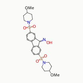 COC1CCN(S(=O)(=O)c2ccc3c(c2)C(=NO)c2cc(S(=O)(=O)N4CCC(OC)CC4)ccc2-3)CC1